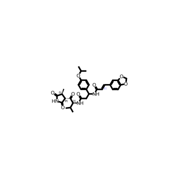 CC(C)Oc1ccc(C(CC(=O)N[C@H](C(=O)[C@@H]2C(=O)NC(=O)[C@H]2C)C(C)C)NC(=O)/C=C/c2ccc3c(c2)OCO3)cc1